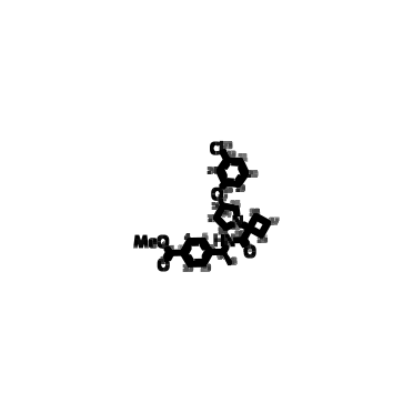 COC(=O)c1ccc([C@H](C)NC(=O)C2(N3CC[C@@H](Oc4cccc(Cl)c4)C3)CCC2)cc1